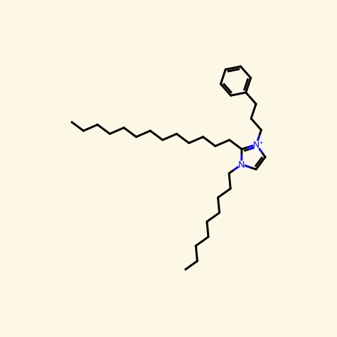 CCCCCCCCCCCCCc1n(CCCCCCCCC)cc[n+]1CCCc1ccccc1